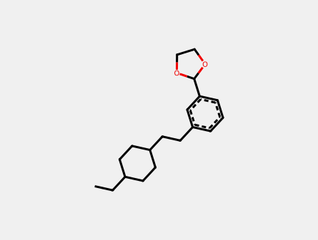 CCC1CCC(CCc2cccc(C3OCCO3)c2)CC1